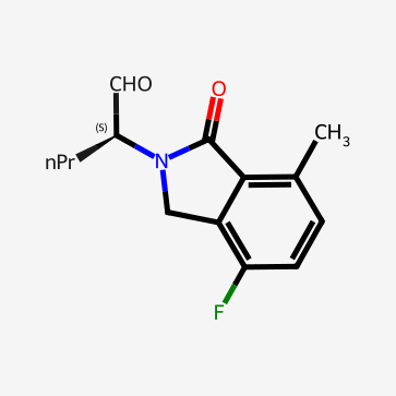 CCC[C@@H](C=O)N1Cc2c(F)ccc(C)c2C1=O